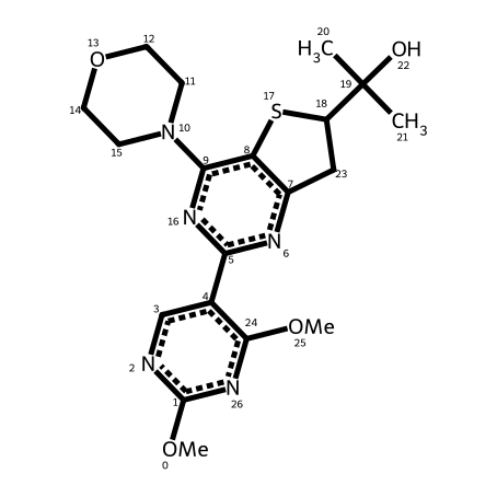 COc1ncc(-c2nc3c(c(N4CCOCC4)n2)SC(C(C)(C)O)C3)c(OC)n1